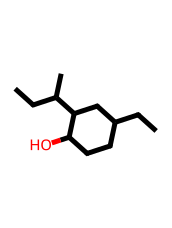 CCC1CCC(O)C(C(C)CC)C1